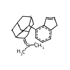 C[Si](C)=C1C2C[C]3CC(C2)CC1C3c1cccc2c1C=CC2